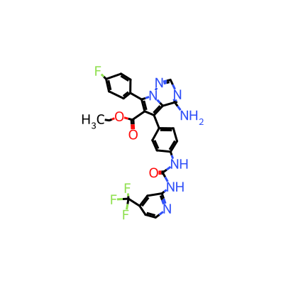 CCOC(=O)c1c(-c2ccc(NC(=O)Nc3cc(C(F)(F)F)ccn3)cc2)c2c(N)ncnn2c1-c1ccc(F)cc1